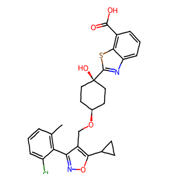 Cc1cccc(Cl)c1-c1noc(C2CC2)c1CO[C@H]1CC[C@](O)(c2nc3cccc(C(=O)O)c3s2)CC1